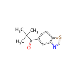 CC(C)(C)C(=O)c1ccc2scnc2c1